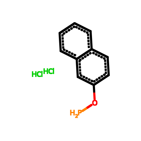 Cl.Cl.POc1ccc2ccccc2c1